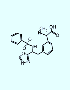 C=NC(C(=O)O)c1cccc(CC(NS(=O)(=O)c2ccccc2)c2nnco2)c1